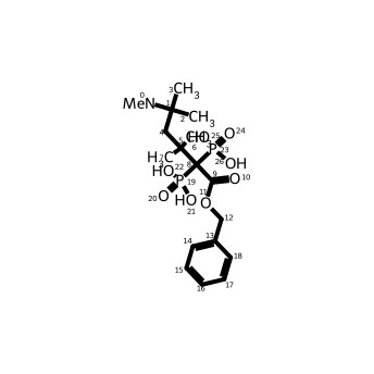 CNC(C)(C)CC(C)(C)C(C(=O)OCc1ccccc1)(P(=O)(O)O)P(=O)(O)O